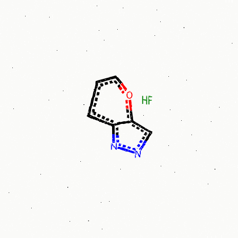 F.c1coc2cnnc-2c1